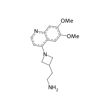 COc1cc2nccc(N3CC(CCN)C3)c2cc1OC